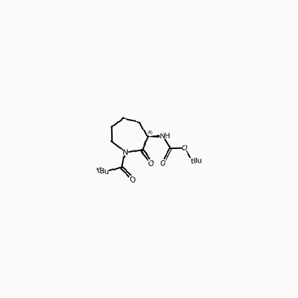 CC(C)(C)OC(=O)N[C@@H]1CCCCN(C(=O)C(C)(C)C)C1=O